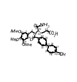 COc1cc(CN(C(=O)c2ccc(-c3ccc(O)cc3)cc2)[C@@H](CCC(=O)O)C(N)=O)cc(OC)c1OC